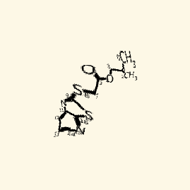 CC(C)COC(=O)CSc1nc2cccnc2s1